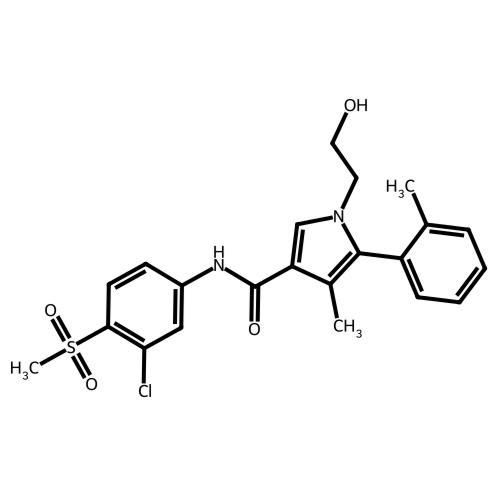 Cc1ccccc1-c1c(C)c(C(=O)Nc2ccc(S(C)(=O)=O)c(Cl)c2)cn1CCO